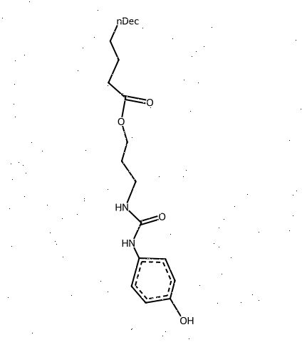 CCCCCCCCCCCCCC(=O)OCCCNC(=O)Nc1ccc(O)cc1